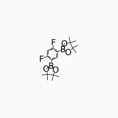 CC1(C)OB(c2cc(B3OC(C)(C)C(C)(C)O3)c(F)cc2F)OC1(C)C